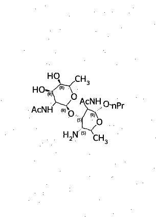 CCCO[C@@H]1OC(C)[C@H](N)[C@H](O[C@@H]2OC(C)[C@H](O)[C@H](O)C2NC(C)=O)C1NC(C)=O